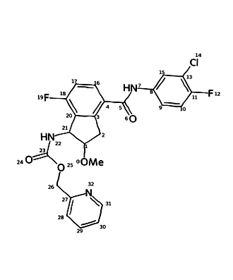 COC1Cc2c(C(=O)Nc3ccc(F)c(Cl)c3)ccc(F)c2C1NC(=O)OCc1ccccn1